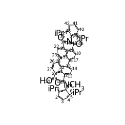 CC(C)c1cccc(C(C)C)c1N(C)C(=O)c1ccc2c3ccc4c5c(ccc(c6ccc(CO)c1c62)c53)C(=O)N(c1c(C(C)C)cccc1C(C)C)C4=O